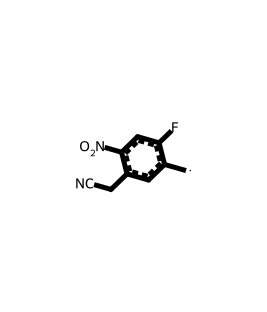 [CH2]c1cc(CC#N)c([N+](=O)[O-])cc1F